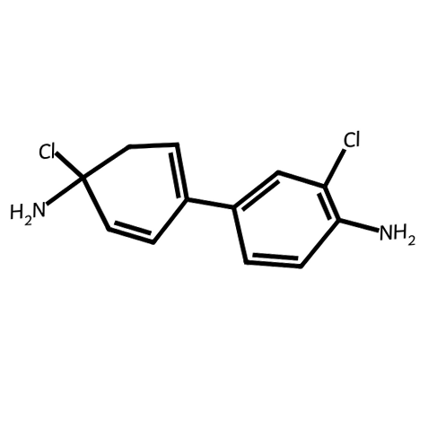 Nc1ccc(C2=CCC(N)(Cl)C=C2)cc1Cl